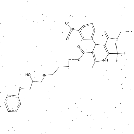 CCOC(=O)C1=C(C(F)(F)F)NC(C)=C(C(=O)OCCCCNCC(O)COc2ccccc2)C1c1cccc([N+](=O)[O-])c1